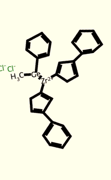 [CH3][Ge]([c]1ccccc1)=[Zr+2]([C]1=CC(c2ccccc2)=CC1)[C]1=CC(c2ccccc2)=CC1.[Cl-].[Cl-]